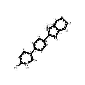 Fc1ccc(-c2ccc(-c3nc4ccccc4[nH]3)cc2)cn1